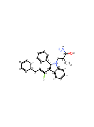 CC(Cn1c(-c2ccccc2)c(/C(F)=C/Cc2ccccc2)c2ccccc21)C(N)=O